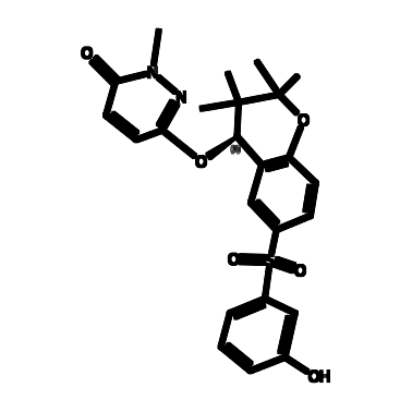 Cn1nc(O[C@@H]2c3cc(S(=O)(=O)c4cccc(O)c4)ccc3OC(C)(C)C2(C)C)ccc1=O